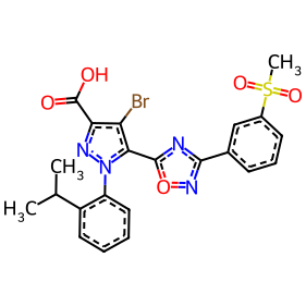 CC(C)c1ccccc1-n1nc(C(=O)O)c(Br)c1-c1nc(-c2cccc(S(C)(=O)=O)c2)no1